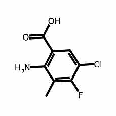 Cc1c(N)c(C(=O)O)cc(Cl)c1F